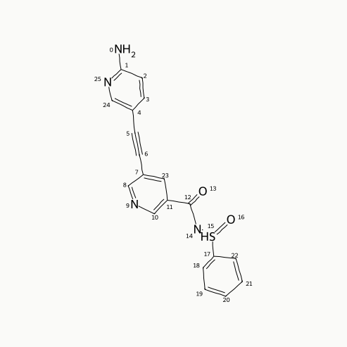 Nc1ccc(C#Cc2cncc(C(=O)N=[SH](=O)c3ccccc3)c2)cn1